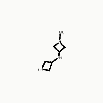 CN1CC(NC2CNC2)C1